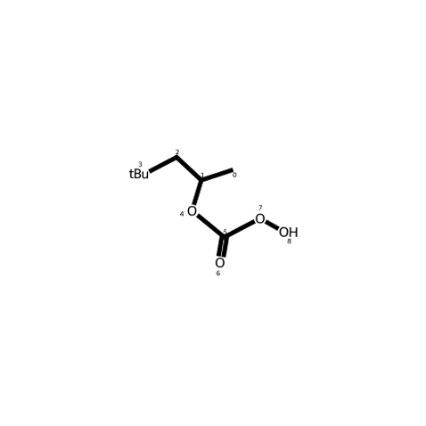 CC(CC(C)(C)C)OC(=O)OO